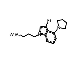 CCc1cn(CCCOC)c2cccc(N3CCCC3)c12